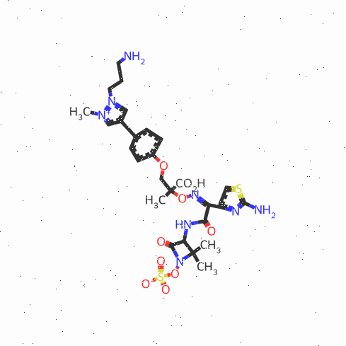 C[n+]1cc(-c2ccc(OCC(C)(O/N=C(\C(=O)NC3C(=O)N(OS(=O)(=O)[O-])C3(C)C)c3csc(N)n3)C(=O)O)cc2)cn1CCCN